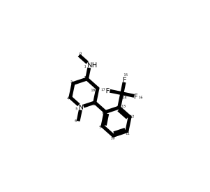 CNC1CCN(C)C(c2ccccc2C(F)(F)F)C1